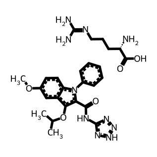 COc1ccc2c(c1)c(OC(C)C)c(C(=O)Nc1nn[nH]n1)n2-c1ccccc1.NC(N)=NCCC[C@H](N)C(=O)O